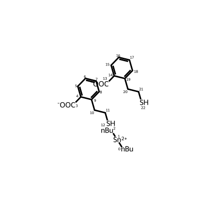 CCC[CH2][Sn+2][CH2]CCC.O=C([O-])c1ccccc1CCS.O=C([O-])c1ccccc1CCS